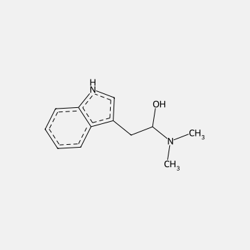 CN(C)C(O)Cc1c[nH]c2ccccc12